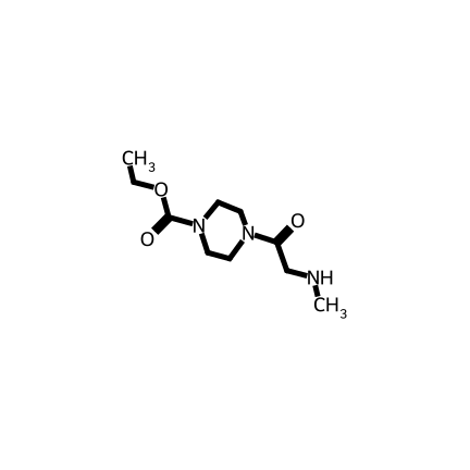 CCOC(=O)N1CCN(C(=O)CNC)CC1